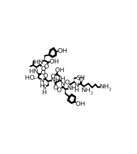 CC(C)[C@H](NC(=O)[C@@H](CO)NC(=O)[C@H](CS)NC(=O)[C@H](CC(=O)O)NC(=O)[C@H](Cc1ccc(O)cc1)NC(=O)[C@H](CS)NC(=O)[C@@H](N)CCCCN)C(=O)N[C@@H](Cc1ccc(O)cc1)C(=O)O